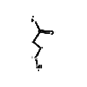 CCC(=O)CCSS